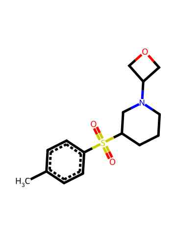 Cc1ccc(S(=O)(=O)C2CCCN(C3COC3)C2)cc1